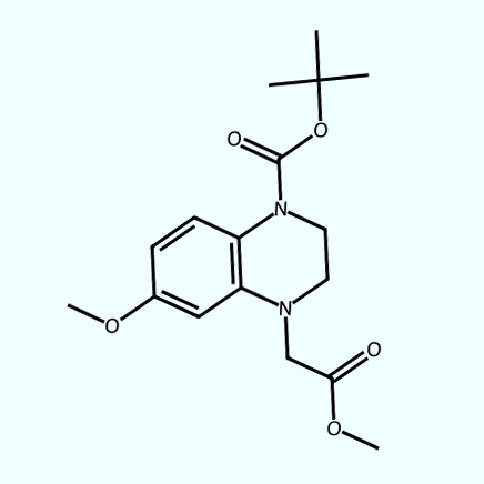 COC(=O)CN1CCN(C(=O)OC(C)(C)C)c2ccc(OC)cc21